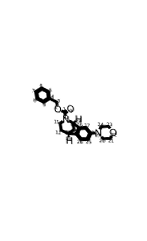 O=C(OCc1ccccc1)N1CC[C@@H]2C[C@H]1c1cc(N3CCOCC3)ccc12